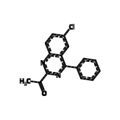 CC(=O)c1nc(-c2ccccc2)c2cc(Cl)ccc2n1